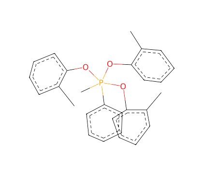 Cc1ccccc1OP(C)(Oc1ccccc1C)(Oc1ccccc1C)c1ccccc1